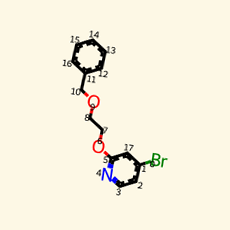 Brc1ccnc(OCCOCc2ccccc2)c1